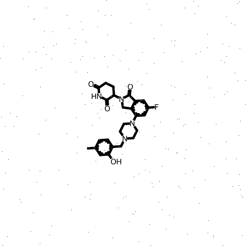 Cc1ccc(CN2CCN(c3cc(F)cc4c3CN(C3CCC(=O)NC3=O)C4=O)CC2)c(O)c1